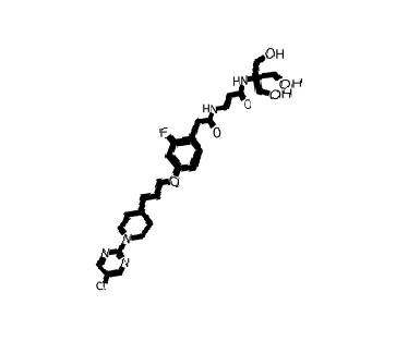 O=C(C=CNC(=O)Cc1ccc(OCCCC2CCN(c3ncc(Cl)cn3)CC2)cc1F)NC(CO)(CO)CO